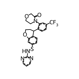 O=C1COCCN1c1cc(C(F)(F)F)ccc1C1CCOc2cc(SNc3ncccn3)ccc21